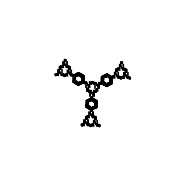 CN1CN(C)CN(c2ccc(N3CN(c4ccc(N5CN(C)CN(C)C5)cc4)CN(c4ccc(N5CN(C)CN(C)C5)cc4)C3)cc2)C1